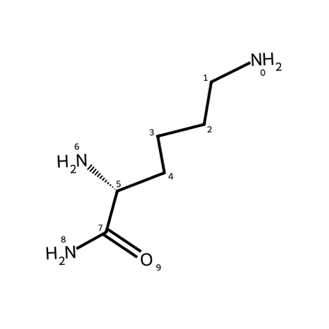 NCCCC[C@@H](N)C(N)=O